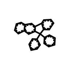 [c]1c2c(cc3ccccc13)-c1ccccc1C2(c1ccccc1)c1ccccc1